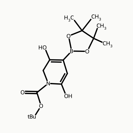 CC(C)(C)OC(=O)N1CC(O)=C(B2OC(C)(C)C(C)(C)O2)C=C1O